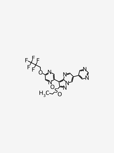 CCS(=O)(=O)c1nn2cc(-c3cncnc3)cnc2c1-c1cnc(OCC(F)(F)C(F)(F)F)cn1